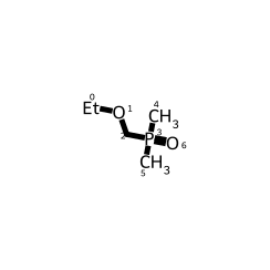 [CH2]COCP(C)(C)=O